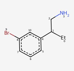 CCC(CN)c1cccc(Br)c1